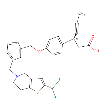 CC#C[C@@H](CC(=O)O)c1ccc(OCc2cccc(CN3CCc4sc(C(F)F)cc4C3)c2)cc1